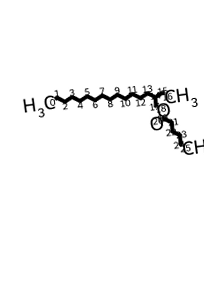 CCCCCCCCCCCCCCC(CC)COC(=O)CCCCC